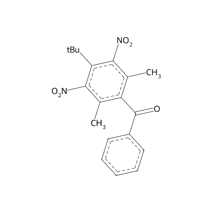 Cc1c(C(=O)c2ccccc2)c(C)c([N+](=O)[O-])c(C(C)(C)C)c1[N+](=O)[O-]